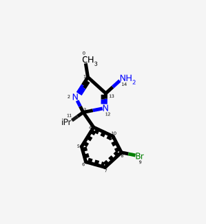 CC1=NC(c2cccc(Br)c2)(C(C)C)N=C1N